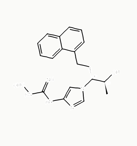 C[C@H](O)[C@@H](CCc1cccc2ccccc12)n1cnc(NC(=N)NC=O)c1